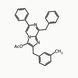 CC(=O)Oc1c(Cc2cccc(C)c2)nc2c(Cc3ccccc3)nc(-c3ccccc3)cn12